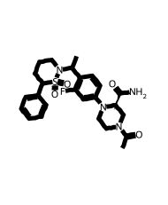 CC(=O)N1CCN(c2ccc(C(C)N3CCCC(c4ccccc4)S3(=O)=O)c(F)c2)[C@@H](C(N)=O)C1